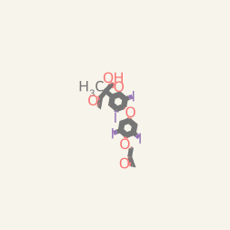 CC(C(=O)O)(c1cc(I)c(Oc2cc(I)c(OCC3CO3)c(I)c2)c(I)c1)C1CO1